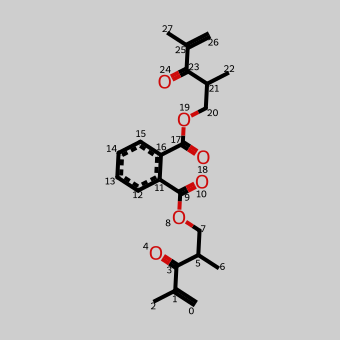 C=C(C)C(=O)C(C)COC(=O)c1ccccc1C(=O)OCC(C)C(=O)C(=C)C